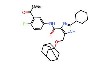 COC(=O)c1cc(NC(=O)c2nc(C3CCCCC3)[nH]c2COC23CC4CC(CC(C4)C2)C3)ccc1F